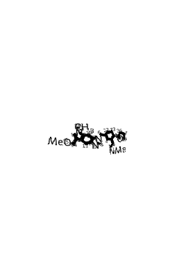 CNCCc1cc(Cn2cnc3cc4c(COC)cn(C)c4cc32)ccc1[C@@H]1CCCO1